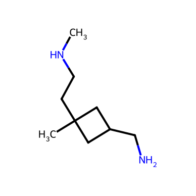 CNCCC1(C)CC(CN)C1